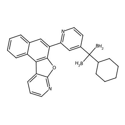 BC(B)(c1ccnc(-c2cc3ccccc3c3c2oc2ncccc23)c1)C1CCCCC1